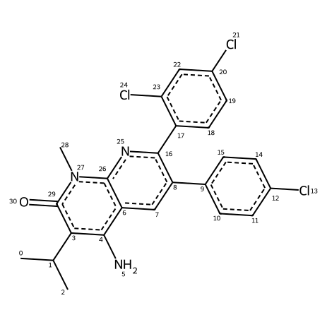 CC(C)c1c(N)c2cc(-c3ccc(Cl)cc3)c(-c3ccc(Cl)cc3Cl)nc2n(C)c1=O